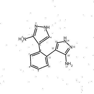 Nc1n[nH]cc1-c1ccccc1-c1c[nH]nc1N